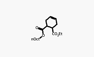 CCCCCCCCOC(=O)C1CC=CCC1C(=O)OCC